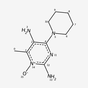 Cc1c(N)c(N2CCCCC2)nc(N)[n+]1[O-]